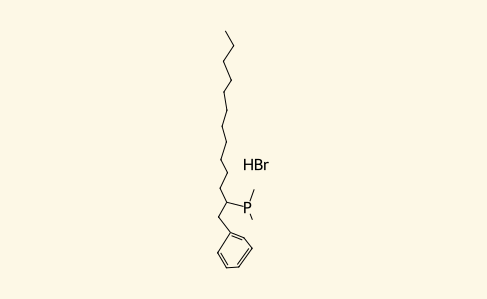 Br.CCCCCCCCCCCC(Cc1ccccc1)P(C)C